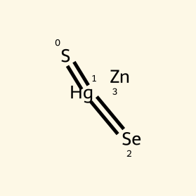 [S]=[Hg]=[Se].[Zn]